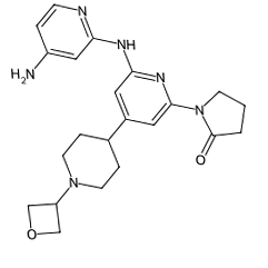 Nc1ccnc(Nc2cc(C3CCN(C4COC4)CC3)cc(N3CCCC3=O)n2)c1